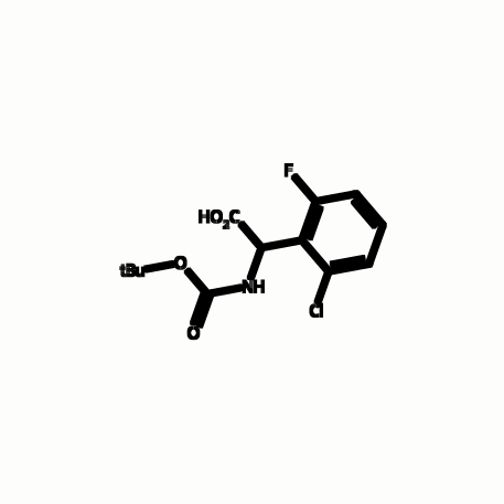 CC(C)(C)OC(=O)NC(C(=O)O)c1c(F)cccc1Cl